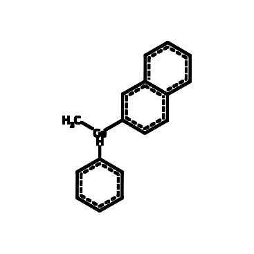 [CH3][GeH]([c]1ccccc1)[c]1ccc2ccccc2c1